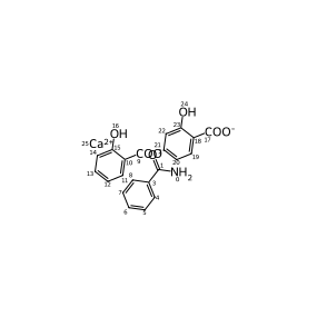 NC(=O)c1ccccc1.O=C([O-])c1ccccc1O.O=C([O-])c1ccccc1O.[Ca+2]